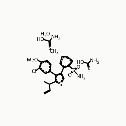 C.C=CC(C)c1scc(-c2ccccc2S(N)(=O)=O)c1-c1ccc(OC)c(Cl)c1.NC(O)=S.NC(O)=S.O